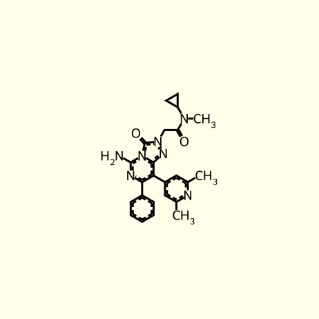 Cc1cc(-c2c(-c3ccccc3)nc(N)n3c(=O)n(CC(=O)N(C)C4CC4)nc23)cc(C)n1